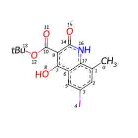 Cc1cc(I)cc2c(O)c(C(=O)OC(C)(C)C)c(=O)[nH]c12